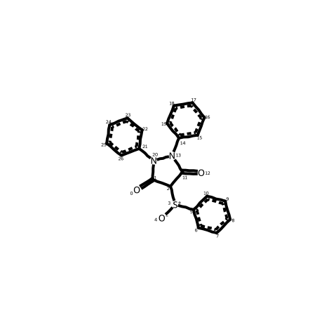 O=C1C([S+]([O-])c2ccccc2)C(=O)N(c2ccccc2)N1c1ccccc1